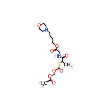 CC(=O)OCOC(=O)SC(C)C(=O)NCC(=O)OCCCCN1CCOCC1